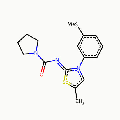 CSc1cccc(-n2cc(C)s/c2=N\C(=O)N2CCCC2)c1